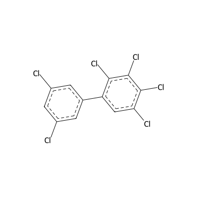 Clc1cc(Cl)cc(-c2cc(Cl)c(Cl)c(Cl)c2Cl)c1